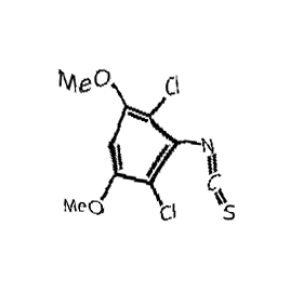 COc1cc(OC)c(Cl)c(N=C=S)c1Cl